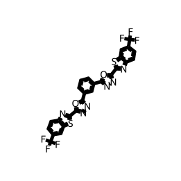 FC(F)(F)c1ccc2nc(-c3nnc(-c4cccc(-c5nnc(-c6nc7ccc(C(F)(F)F)cc7s6)o5)c4)o3)sc2c1